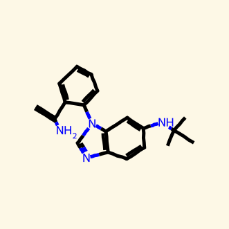 C=C(N)c1ccccc1-n1cnc2ccc(NC(C)(C)C)cc21